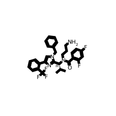 CC(C)[C@H](c1nc(-c2ccccc2C(F)(F)F)cn1Cc1ccccc1)N(CCCN)C(=O)c1ccc(F)cc1F